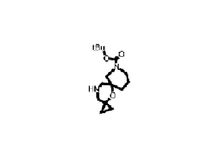 CC(C)(C)OC(=O)N1CCCC2(CNCC3(CC3)O2)C1